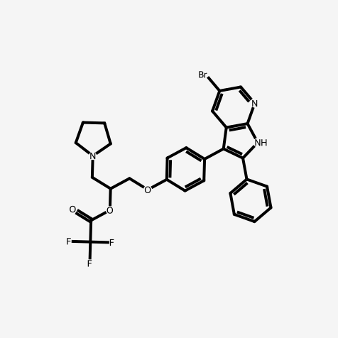 O=C(OC(COc1ccc(-c2c(-c3ccccc3)[nH]c3ncc(Br)cc23)cc1)CN1CCCC1)C(F)(F)F